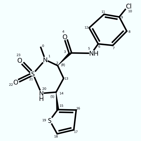 CN1[C@@H](C(=O)Nc2ccc(Cl)cc2)C[C@@H](c2cccs2)NS1(=O)=O